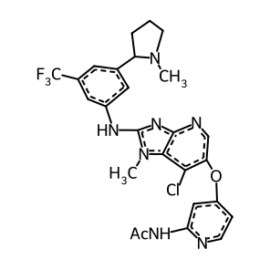 CC(=O)Nc1cc(Oc2cnc3nc(Nc4cc(C5CCCN5C)cc(C(F)(F)F)c4)n(C)c3c2Cl)ccn1